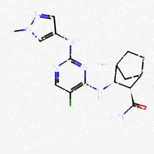 CCn1cc(Nc2ncc(Cl)c(N[C@H]3[C@H]4CC[C@H](C4)[C@H]3C(N)=O)n2)cn1